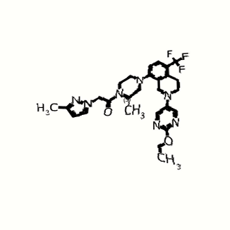 CCOc1ncc(N2CCc3c(C(F)(F)F)ccc(N4CCN(C(=O)Cn5ccc(C)n5)[C@@H](C)C4)c3C2)cn1